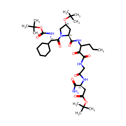 CCCC(NC(=O)[C@@H]1C[C@@H](OC(C)(C)C)CN1C(=O)[C@@H](NC(=O)OC(C)(C)C)C1CCCCC1)C(=O)C(=O)NCC(=O)N[C@@H](CC(=O)OC(C)(C)C)C(N)=O